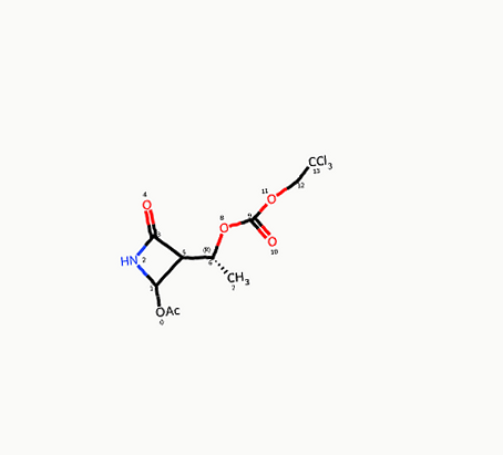 CC(=O)OC1NC(=O)C1[C@@H](C)OC(=O)OCC(Cl)(Cl)Cl